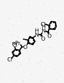 CCCC(Oc1ccc(NC(=O)NC(=O)c2ccccc2Cl)cc1C)c1ccc(Cl)cc1Cl